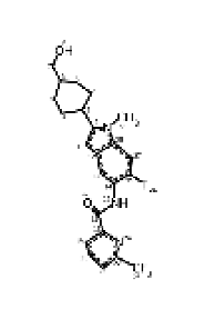 Cn1c(C2CCC(CO)CC2)cc2cc(NC(=O)c3cccc(C(F)(F)F)n3)c(F)cc21